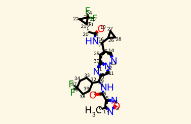 Cc1nonc1C(=O)N[C@H](c1cn2ncc([C@H](NC(=O)C[C@@H]3CC3(F)F)C3CC3)cc2n1)C1CCC(F)(F)CC1